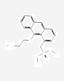 CCOP(=O)(Cc1cccc2cc3ccccc3c(OCCOC)c12)OCC